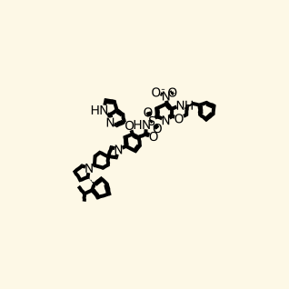 CC(C)c1ccccc1[C@@H]1CCCN1C1CCC2(CC1)CN(c1ccc(C(=O)NS(=O)(=O)c3cc([N+](=O)[O-])c4c(n3)OC[C@H](Cc3ccccc3)N4)c(Oc3cnc4[nH]ccc4c3)c1)C2